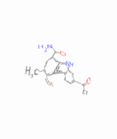 CCC(=O)c1ccc2c(c1)[nH]c1c(C(N)=O)cc(C)c(Br)c12